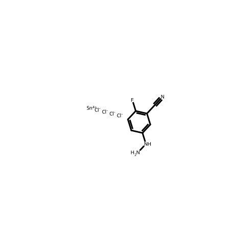 N#Cc1cc(NN)ccc1F.[Cl-].[Cl-].[Cl-].[Cl-].[Sn+4]